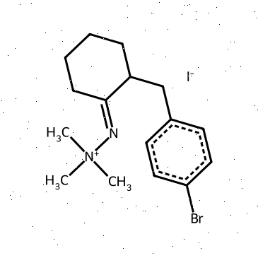 C[N+](C)(C)N=C1CCCCC1Cc1ccc(Br)cc1.[I-]